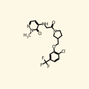 Cn1nccc(NCC(=O)N2CCC(COc3cc(C(F)(F)F)ccc3Cl)C2)c1=O